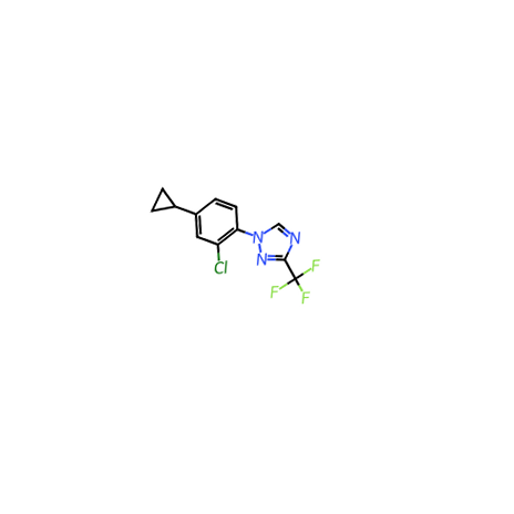 FC(F)(F)c1ncn(-c2ccc(C3CC3)cc2Cl)n1